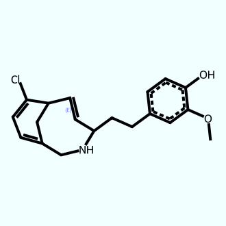 COc1cc(CCC2/C=C/C3CC(=CC=C3Cl)CN2)ccc1O